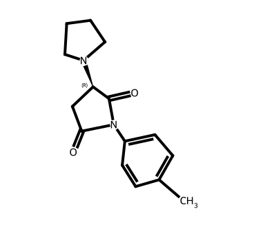 Cc1ccc(N2C(=O)C[C@@H](N3CCCC3)C2=O)cc1